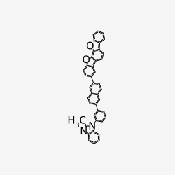 Cc1nc2ccccc2n1-c1cccc(-c2ccc3cc(-c4ccc5oc6c(ccc7c8ccccc8oc76)c5c4)ccc3c2)c1